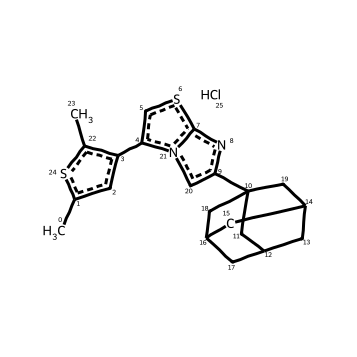 Cc1cc(-c2csc3nc(C45CC6CC(CC(C6)C4)C5)cn23)c(C)s1.Cl